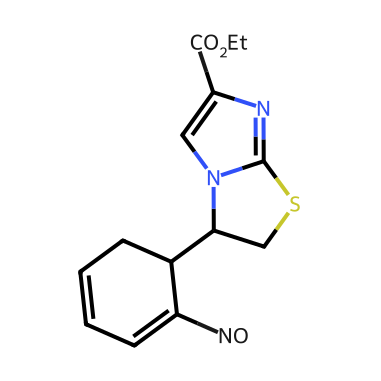 CCOC(=O)c1cn2c(n1)SCC2C1CC=CC=C1N=O